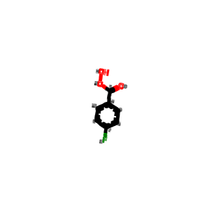 O=C(OO)c1ccc(F)cc1